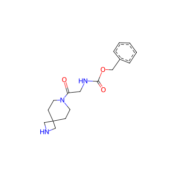 O=C(NCC(=O)N1CCC2(CC1)CNC2)OCc1ccccc1